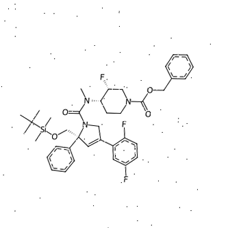 CN(C(=O)N1CC(c2cc(F)ccc2F)=C[C@@]1(CO[Si](C)(C)C(C)(C)C)c1ccccc1)[C@H]1CCN(C(=O)OCc2ccccc2)C[C@H]1F